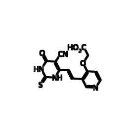 N#Cc1c(C=Cc2cnccc2OCC(=O)O)[nH]c(=S)[nH]c1=O